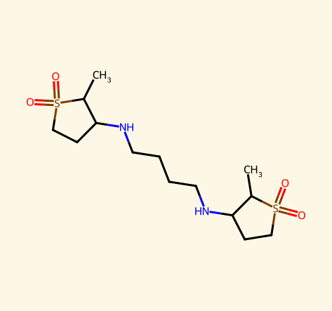 CC1C(NCCCCNC2CCS(=O)(=O)C2C)CCS1(=O)=O